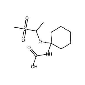 CC(OC1(NC(=O)O)CCCCC1)S(C)(=O)=O